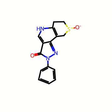 O=c1c2c[nH]c3c(c-2nn1-c1ccccc1)C[S+]([O-])CC3